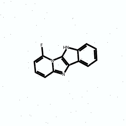 Fc1cccc2nc3c4ccccc4[nH]c3n12